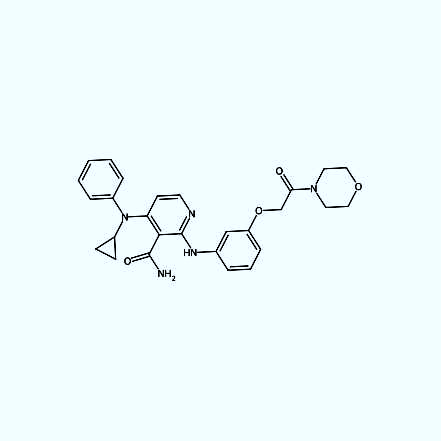 NC(=O)c1c(N(c2ccccc2)C2CC2)ccnc1Nc1cccc(OCC(=O)N2CCOCC2)c1